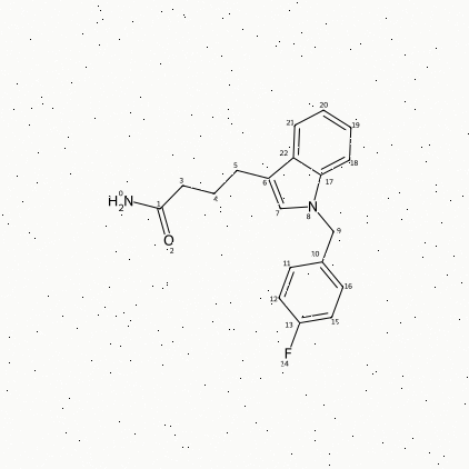 NC(=O)CCCc1cn(Cc2ccc(F)cc2)c2ccccc12